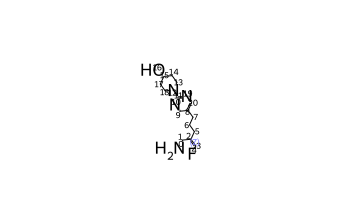 NC/C(=C\F)CCCc1cnc(N2CCC(O)CC2)nc1